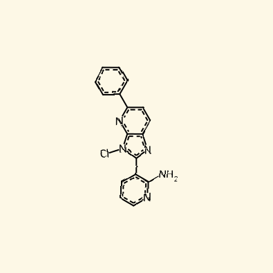 Nc1ncccc1-c1nc2ccc(-c3ccccc3)nc2n1Cl